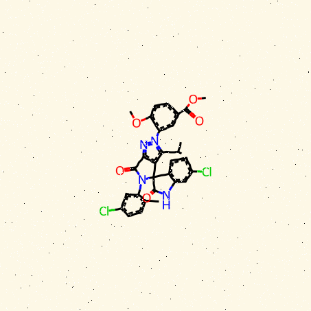 COC(=O)c1ccc(OC)c(-n2nc3c(c2C(C)C)C2(C(=O)Nc4cc(Cl)ccc42)N(c2cc(Cl)ccc2C)C3=O)c1